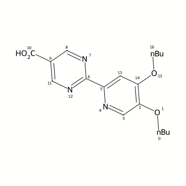 CCCCOc1cnc(-c2ncc(C(=O)O)cn2)cc1OCCCC